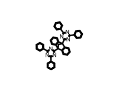 c1ccc(-c2nc(-c3ccccc3)nc(C34CC(c5nc(-c6ccccc6)nc(-c6ccccc6)n5)(c5ccccc53)c3ccccc34)n2)cc1